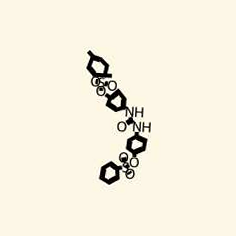 CC1=CCC(C)(S(=O)(=O)Oc2ccc(NC(=O)Nc3ccc(OS(=O)(=O)c4ccccc4)cc3)cc2)C=C1